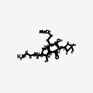 COCCn1c(=O)n(C2CC(C)(C)C2)c(=O)c2c(C)c(CNCCN)sc21